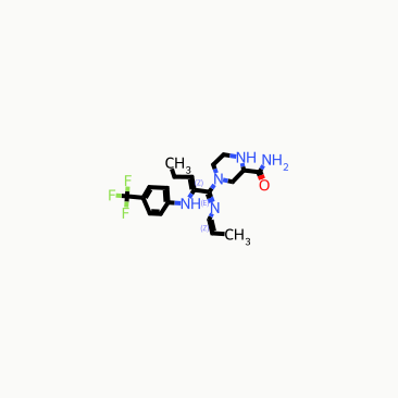 C\C=C/N=C(\C(=C\CC)Nc1ccc(C(F)(F)F)cc1)N1CCNC(C(N)=O)C1